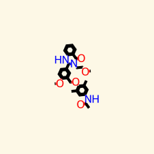 COCCN1C(=O)c2ccccc2NC1c1ccc(OC)c(COc2c(C)cc(NC(C)=O)cc2C)c1